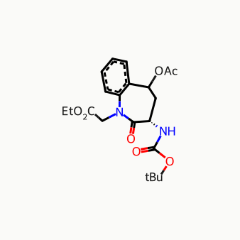 CCOC(=O)CN1C(=O)[C@@H](NC(=O)OC(C)(C)C)CC(OC(C)=O)c2ccccc21